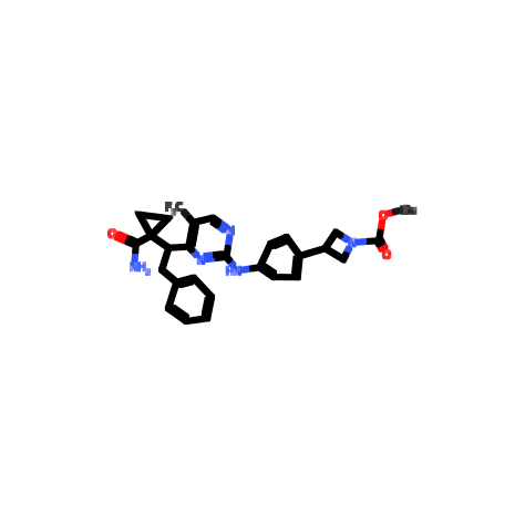 CC(C)(C)OC(=O)N1CC(c2ccc(Nc3ncc(C(F)(F)F)c(C(Cc4ccccc4)C4(C(N)=O)CC4)n3)cc2)C1